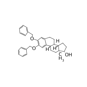 C[C@]12CC[C@@H]3c4cc(OCc5ccccc5)c(OCc5ccccc5)cc4CC[C@H]3[C@@H]1CC[C@@H]2O